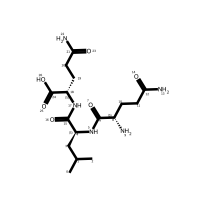 CC(C)C[C@H](NC(=O)[C@@H](N)CCC(N)=O)C(=O)N[C@@H](CCC(N)=O)C(=O)O